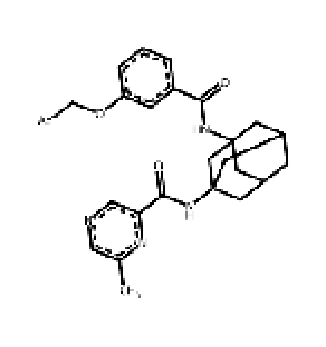 CC(=O)COc1cccc(C(=O)NC23CC4CC(C2)CC(NC(=O)c2cncc(C)n2)(C4)C3)c1